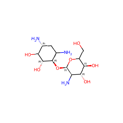 NC1[C@@H](O[C@@H]2C(N)C[C@@H](N)C(O)[C@H]2O)OC(CO)[C@@H](O)[C@@H]1O